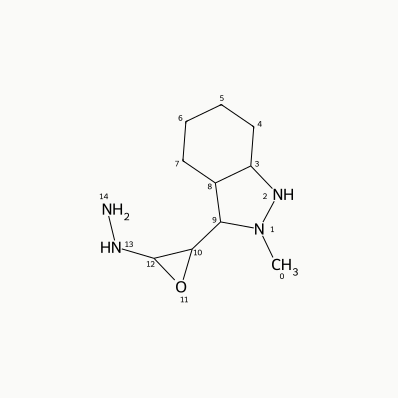 CN1NC2CCCCC2C1C1OC1NN